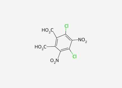 O=C(O)c1c(Cl)c([N+](=O)[O-])c(Cl)c([N+](=O)[O-])c1C(=O)O